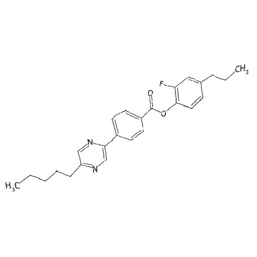 CCCCCc1cnc(-c2ccc(C(=O)Oc3ccc(CCC)cc3F)cc2)cn1